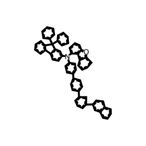 c1ccc(C2(c3ccccc3)c3ccccc3-c3ccc(N(c4ccc(-c5ccc(-c6cccc(-c7ccc8ccccc8c7)c6)cc5)cc4)c4cccc5oc6ccccc6c45)cc32)cc1